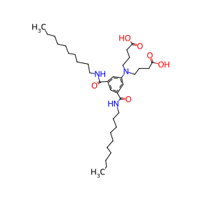 CCCCCCCCCCNC(=O)c1cc(C(=O)NCCCCCCCCCC)cc(N(CCCC(=O)O)CCCC(=O)O)c1